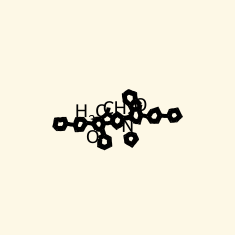 CC1(C)c2cc3c4c5c(oc6ccccc65)c(-c5ccc(-c6ccccc6)cc5)cc4n(-c4ccccc4)c3cc2-c2c1cc(-c1ccc(-c3ccccc3)cc1)c1oc3ccccc3c21